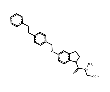 N[C@H](CC(=O)O)C(=O)N1CCc2cc(OCc3ccc(CCc4ccccc4)cc3)ccc21